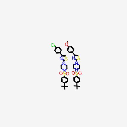 CC(C)(C)c1ccc(S(=O)(=O)N2CCN(c3nc(-c4ccc(Cl)cc4)cs3)CC2)cc1.COc1ccc(-c2csc(N3CCN(S(=O)(=O)c4ccc(C(C)(C)C)cc4)CC3)n2)cc1